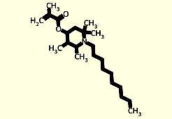 C=C(C)C(=O)OC1CC(C)(C)N(CCCCCCCCCC)C(C)C1C